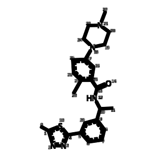 Cc1nnc(-c2cccc(C(C)NC(=O)c3cc(N4CCN(C)CC4)ccc3C)c2)s1